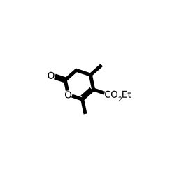 CCOC(=O)C1=C(C)OC(=O)CC1C